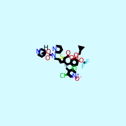 O=C(O)c1sc(CN(C(=O)O[C@H]2CN3CCC2CC3)c2ccccn2)cc1[C@@H](Cc1c(Cl)c[n+]([O-])cc1Cl)c1ccc(OC(F)F)c(OCC2CC2)c1